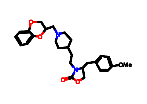 COc1ccc(CC2COC(=O)N2CCC2CCN(CC3COc4ccccc4O3)CC2)cc1